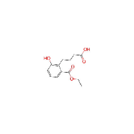 CCOC(=O)c1cccc(O)c1CCCC(=O)O